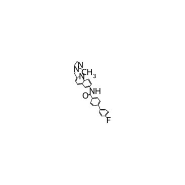 CC1=NCCN1Cc1ccc2cc(NC(=O)c3ccc(-c4ccc(F)cc4)cc3)ccc2n1